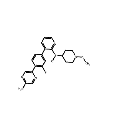 CSN1CCC([S+]([O-])c2ncccc2-c2ccc(-c3cnc(N)cn3)c(F)c2)CC1